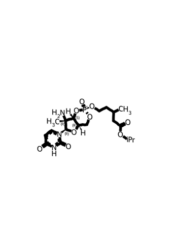 CC(CCO[P@]1(=O)OC[C@H]2O[C@@H](n3ccc(=O)[nH]c3=O)[C@](C)(N)[C@@H]2O1)CC(=O)OC(C)C